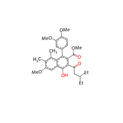 CCC(CC)CC(=O)c1c(C(=O)OC)c(-c2ccc(OC)c(OC)c2)c2c(C)c(C)c(OC)cc2c1O